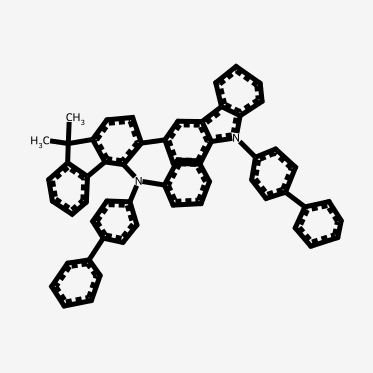 CC1(C)c2ccccc2-c2c1ccc(-c1ccc3c(c1)c1ccccc1n3-c1ccc(-c3ccccc3)cc1)c2N(c1ccccc1)c1ccc(-c2ccccc2)cc1